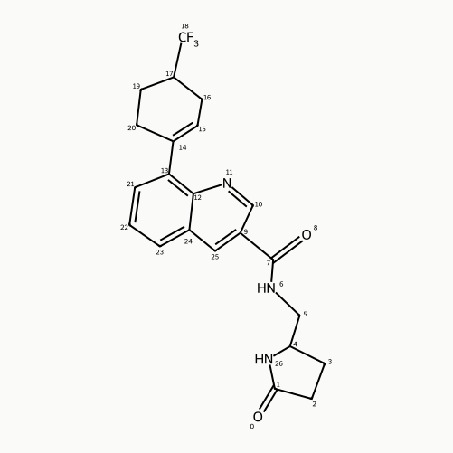 O=C1CCC(CNC(=O)c2cnc3c(C4=CCC(C(F)(F)F)CC4)cccc3c2)N1